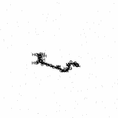 Cc1ccc(S(=O)(=O)CCC(=O)c2cncc(C(=O)NCC(C)(C)COCC(C)(C)OCc3cn(CCOCCOCCOCCNC(=O)c4ccc(OC5C[C@@H](O)C(O)C(CO)O5)c(OSO)c4)nn3)c2)cc1